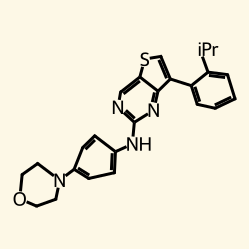 CC(C)c1ccccc1-c1csc2cnc(Nc3ccc(N4CCOCC4)cc3)nc12